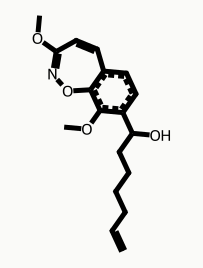 C=CCCCCC(O)c1ccc2c(c1OC)ON=C(OC)C=C2